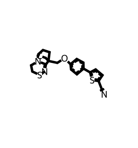 N#Cc1ccc(-c2ccc(OCC34CCC(CC3)N3CCSN=C34)cc2)s1